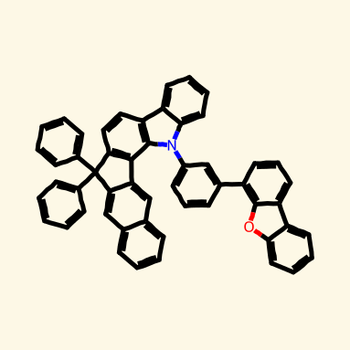 c1ccc(C2(c3ccccc3)c3cc4ccccc4cc3-c3c2ccc2c4ccccc4n(-c4cccc(-c5cccc6c5oc5ccccc56)c4)c32)cc1